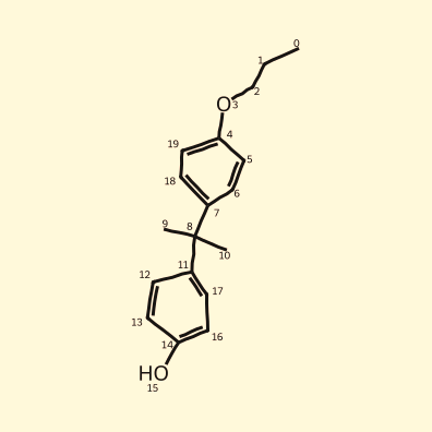 CCCOc1ccc(C(C)(C)c2ccc(O)cc2)cc1